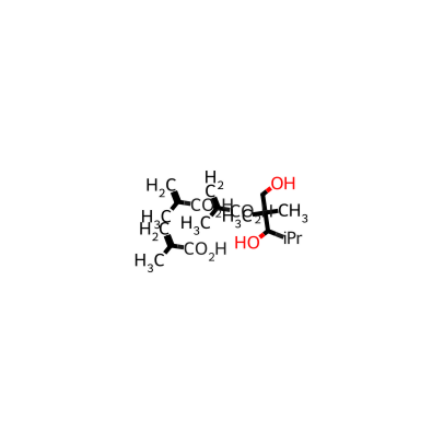 C=C(C)C(=O)O.C=C(C)C(=O)O.C=C(C)C(=O)O.CC(C)C(O)C(C)(C)CO